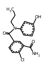 CCCN(C(=O)c1ccc(Cl)c(C(N)=O)c1)c1cccc(O)c1